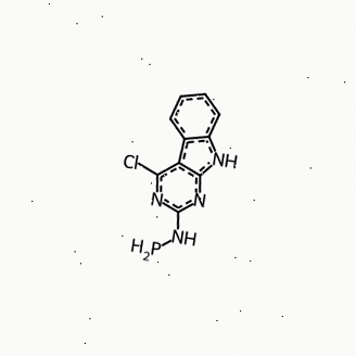 PNc1nc(Cl)c2c(n1)[nH]c1ccccc12